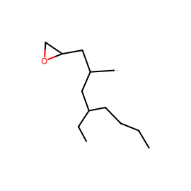 [CH2]C(CC(CC)CCCC)CC1CO1